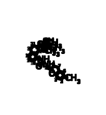 Cc1ccc2c(c1)CCC(CNC(=O)Nc1cccc3c1CC(O[Si](C)(C)C(C)(C)C)CC3)O2